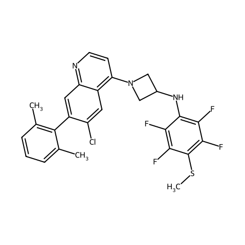 CSc1c(F)c(F)c(NC2CN(c3ccnc4cc(-c5c(C)cccc5C)c(Cl)cc34)C2)c(F)c1F